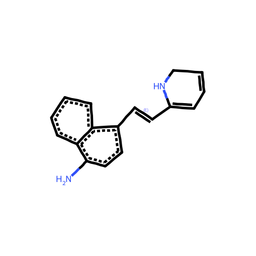 Nc1ccc(/C=C/C2=CC=CCN2)c2ccccc12